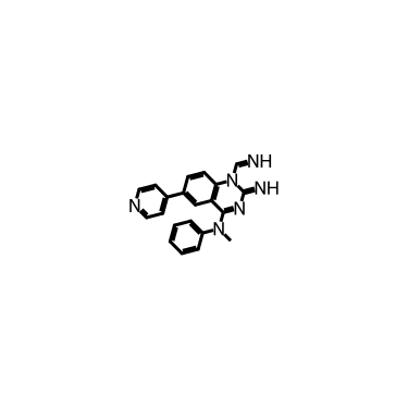 CN(c1ccccc1)c1nc(=N)n(C=N)c2ccc(-c3ccncc3)cc12